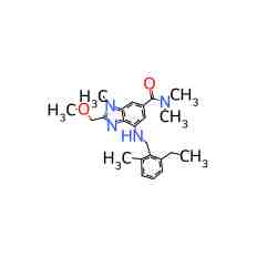 CCc1cccc(C)c1CNc1cc(C(=O)N(C)C)cc2c1nc(COC)n2C